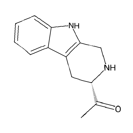 CC(=O)[C@@H]1Cc2c([nH]c3ccccc23)CN1